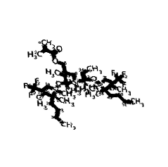 C=C(C)C(=O)OCCC[Si](C)(C(C)(CC)O[Si](C)(CCC(F)(F)F)[C@@](C)(CC)CCCC)[C@](C)(CC)O[Si](C)(CCC(F)(F)F)C(C)(CC)CCCC